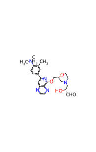 Cc1cc(-c2cc3nccnc3c(OC[C@@H]3CN(C[C@@H](O)C=O)CCO3)n2)ccc1N(C)C